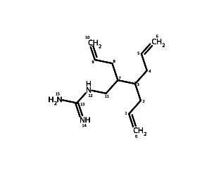 C=CC[C](CC=C)C(CC=C)CNC(=N)N